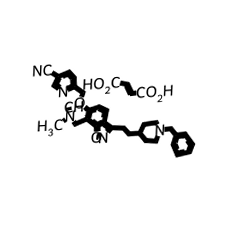 CN(C)Cc1c(OCc2ccc(C#N)cn2)ccc2c(CCC3CCN(Cc4ccccc4)CC3)noc12.O=C(O)/C=C/C(=O)O